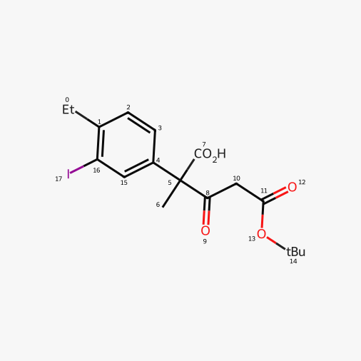 CCc1ccc(C(C)(C(=O)O)C(=O)CC(=O)OC(C)(C)C)cc1I